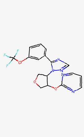 FC(F)(F)Oc1cccc(-c2ncnn2C2COCC2Oc2ncccn2)c1